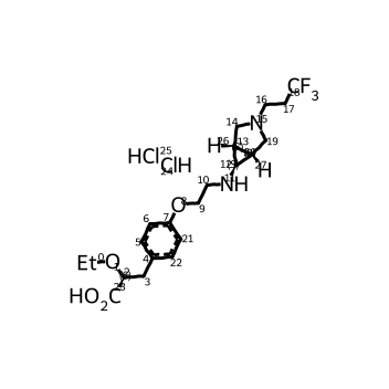 CCO[C@@H](Cc1ccc(OCCN[C@H]2[C@@H]3CN(CCC(F)(F)F)C[C@@H]32)cc1)C(=O)O.Cl.Cl